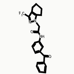 O=C(Cn1nc(C(F)(F)F)c2c1CCCC2)Nc1cccc(C(=O)c2ccccc2)c1